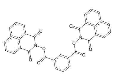 O=C(ON1C(=O)c2cccc3cccc(c23)C1=O)c1cccc(C(=O)ON2C(=O)c3cccc4cccc(c34)C2=O)c1